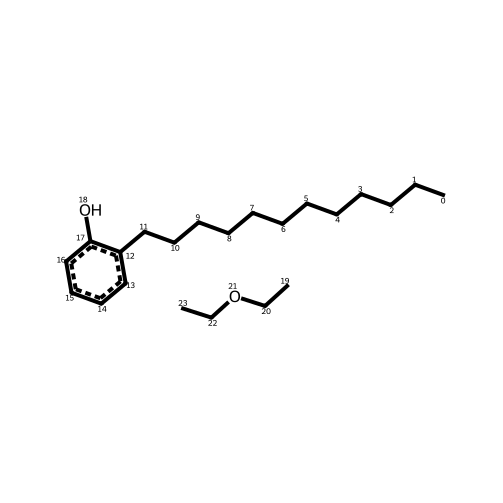 CCCCCCCCCCCCc1ccccc1O.CCOCC